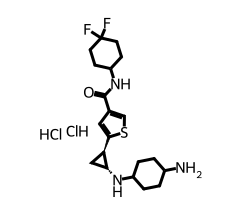 Cl.Cl.NC1CCC(N[C@@H]2C[C@H]2c2cc(C(=O)NC3CCC(F)(F)CC3)cs2)CC1